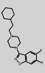 Fc1cc2onc(N3CCN(CCC4CCCCC4)CC3)c2cc1F